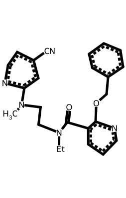 CCN(CCN(C)c1cc(C#N)ccn1)C(=O)c1cccnc1OCc1ccccc1